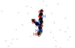 Cc1cc(C(=O)NC2CCC(C(=O)OC(C)(C)C)CC2(C)C)ccc1-c1ccc(C[C@H](NC(=O)[C@H]2CC[C@H](CNC(=O)OC(C)(C)C)CC2)C(=O)Nc2ccc(-c3nnc(C(F)(F)C(F)(F)C(=O)O)[nH]3)cc2)cc1